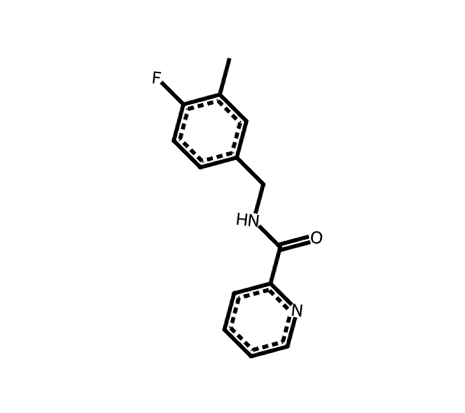 Cc1cc(CNC(=O)c2ccccn2)ccc1F